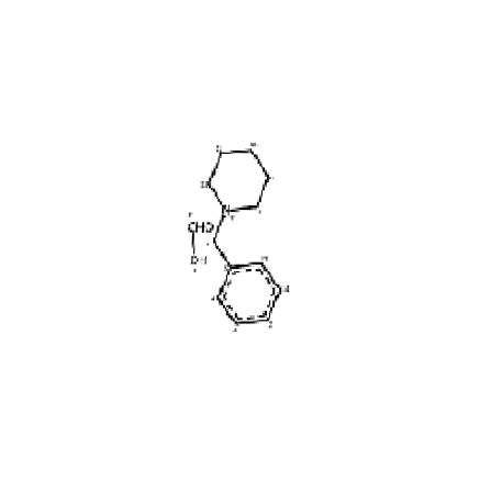 O=CO.c1ccc(CN2CCCCC2)cc1